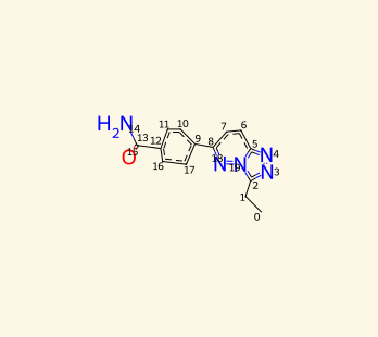 CCc1nnc2ccc(-c3ccc(C(N)=O)cc3)nn12